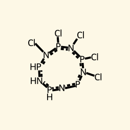 Cln1pn[pH][nH][pH]n(Cl)p(Cl)n(Cl)p1Cl